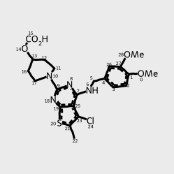 COc1ccc(CNc2nc(N3CCC(OC(=O)O)CC3)nc3sc(C)c(Cl)c23)cc1OC